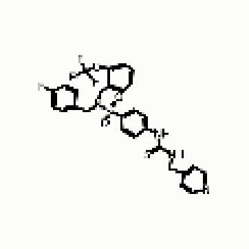 O=S(=O)(c1ccc(NC(=S)NCc2ccncc2)cc1)N(Cc1ccc(F)cc1)Cc1ccccc1OC(F)(F)F